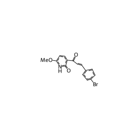 COc1ccc(C(=O)C=Cc2ccc(Br)cc2)c(=O)[nH]1